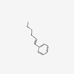 C[CH]CCC=Cc1ccccc1